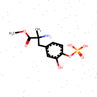 COC(=O)C(C)(N)Cc1ccc(OP(=O)(O)O)c(O)c1